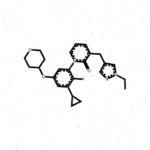 CCn1cc(Cc2cccn(-c3cc(OC4CCOCC4)cc(C4CC4)c3F)c2=O)cn1